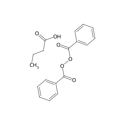 CCCC(=O)O.O=C(OOC(=O)c1ccccc1)c1ccccc1